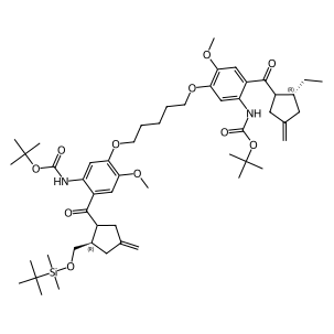 C=C1CC(C(=O)c2cc(OC)c(OCCCCCOc3cc(NC(=O)OC(C)(C)C)c(C(=O)C4CC(=C)C[C@H]4CO[Si](C)(C)C(C)(C)C)cc3OC)cc2NC(=O)OC(C)(C)C)[C@H](CC)C1